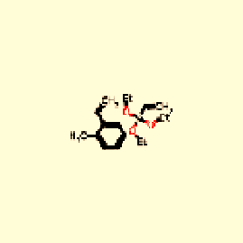 C=C[Si](OCC)(OCC)OCC.C=Cc1ccccc1C